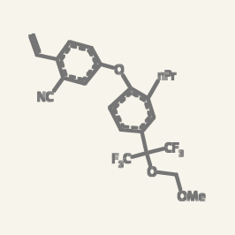 C=Cc1ccc(Oc2ccc(C(OCOC)(C(F)(F)F)C(F)(F)F)cc2CCC)cc1C#N